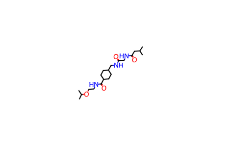 CC(C)CC(=O)NCC(=O)NCC1CCC(C(=O)NCCOC(C)C)CC1